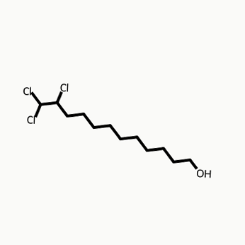 OCCCCCCCCCCC(Cl)C(Cl)Cl